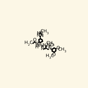 C=CC(=O)Nc1cc(-c2nnn(C)n2)ccc1Nc1ncc2c(n1)N(C)C(=O)N(c1cc(OC)cc(OC)c1)C2